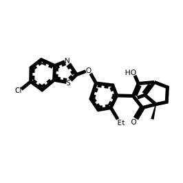 CCc1ccc(Oc2nc3ccc(Cl)cc3s2)cc1C1=C(O)C2=C(C)[C@](C)(CC2)C1=O